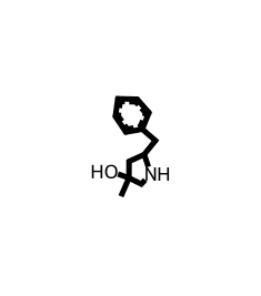 CC1(O)CNC(Cc2ccccc2)C1